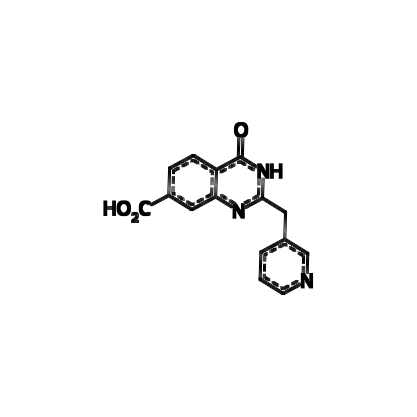 O=C(O)c1ccc2c(=O)[nH]c(Cc3cccnc3)nc2c1